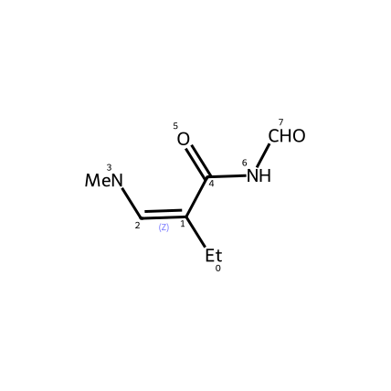 CC/C(=C/NC)C(=O)NC=O